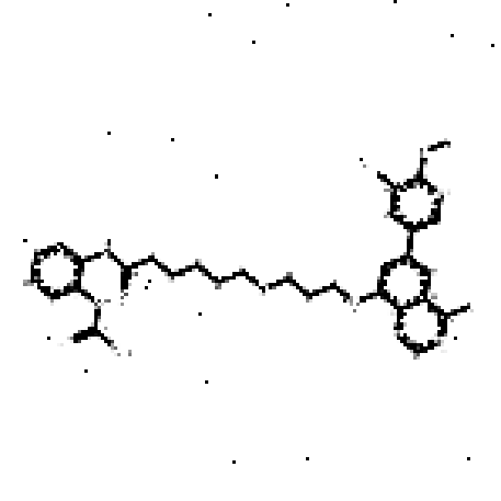 COc1ncc(-c2cc(OCCCCCCCCCC(=O)Nc3ccccc3OC(N)=O)c3ncnc(C)c3c2)cc1F